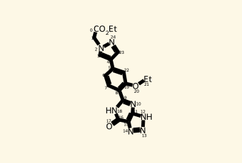 CCOC(=O)Cn1cc(-c2ccc(-c3nc4[nH]nnc4c(=O)[nH]3)c(OCC)c2)cn1